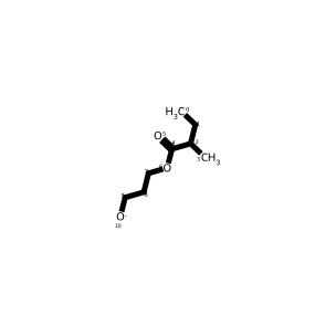 CCC(C)C(=O)OCCC[O]